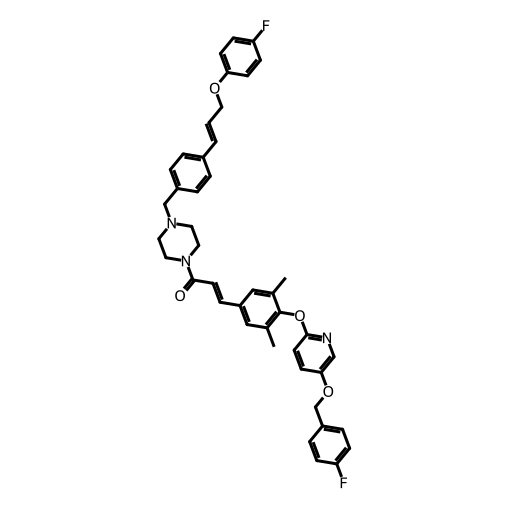 Cc1cc(/C=C/C(=O)N2CCN(Cc3ccc(/C=C/COc4ccc(F)cc4)cc3)CC2)cc(C)c1Oc1ccc(OCc2ccc(F)cc2)cn1